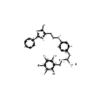 Cc1oc(-c2ccccc2)nc1CCOc1ccc(CC(NCc2c(F)c(F)c(F)c(F)c2F)C(=O)O)cc1